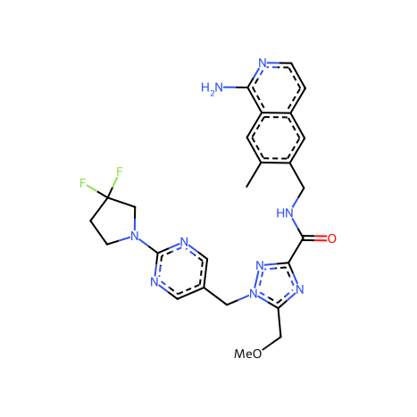 COCc1nc(C(=O)NCc2cc3ccnc(N)c3cc2C)nn1Cc1cnc(N2CCC(F)(F)C2)nc1